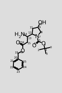 CC(C)(C)OC(=O)N1CC(O)CC1C(N)CC(=O)OCc1ccccc1